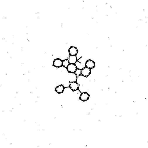 CC1(C)c2ccccc2-n2c3ccccc3c3cc4c(c1c32)c1c2ccccc2ccc1n4-c1nc(-c2ccccc2)cc(-c2ccccc2)n1